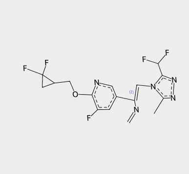 C=N/C(=C\n1c(C)nnc1C(F)F)c1cnc(OCC2CC2(F)F)c(F)c1